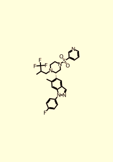 Cc1cc2c(cnn2-c2ccc(F)cc2)cc1[C@H]1CN(S(=O)(=O)c2cccnc2)CCN1CC(C)C(F)(F)F